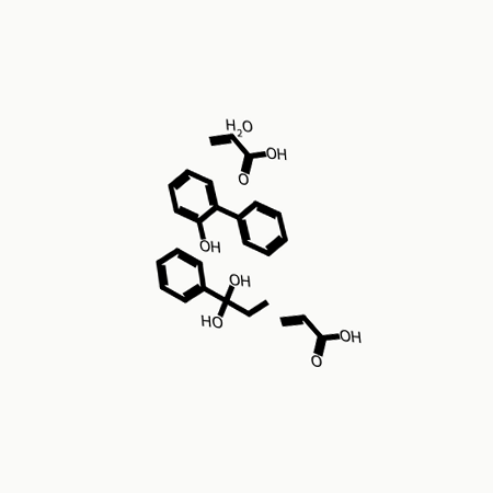 C=CC(=O)O.C=CC(=O)O.CCC(O)(O)c1ccccc1.O.Oc1ccccc1-c1ccccc1